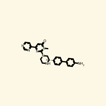 Cn1c(N2CCN[C@@H](c3ccc(-c4ccc(N)cc4)cc3)C2)nc(-c2ccncn2)cc1=O